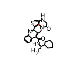 C[C@H](NC(=O)c1c(CN2CCNCC2=O)c(-c2cccs2)nc2ccccc12)C1CCCCC1